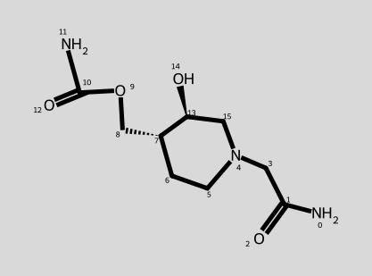 NC(=O)CN1CC[C@H](COC(N)=O)[C@@H](O)C1